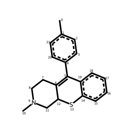 Cc1ccc(C2=C3CCN(C)CC3Sc3ccccc32)cc1